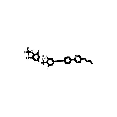 CCCCc1ccc(-c2ccc(C#CC3=CC(P)C(C(F)(F)Oc4cc(F)c(OC(F)(F)F)c(P)c4)C(F)=C3)cc2)nc1